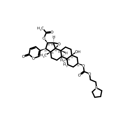 CC(=O)O[C@H]1[C@H]2O[C@]23[C@@H]2CC[C@]4(O)C[C@@H](OC(=O)OCCN5CCCC5)CC[C@]4(C)[C@H]2CC[C@]3(C)[C@H]1c1ccc(=O)oc1